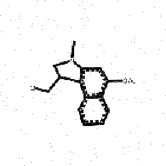 CC(=O)Oc1cc2c(c3ccccc13)C(CCl)CN2C